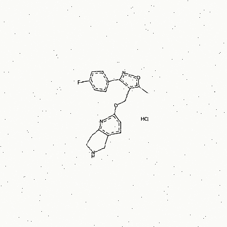 Cc1onc(-c2ccc(F)cc2)c1COc1ccc2c(n1)CCNC2.Cl